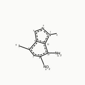 Cn1ncc2c(I)cc([N+](=O)[O-])c(N)c21